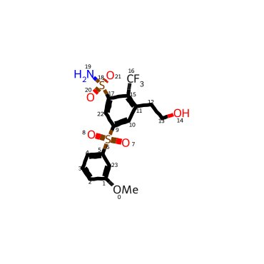 COc1cccc(S(=O)(=O)c2cc(CCO)c(C(F)(F)F)c(S(N)(=O)=O)c2)c1